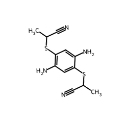 CC(C#N)Sc1cc(N)c(SC(C)C#N)cc1N